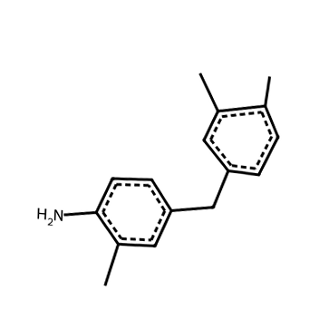 Cc1ccc(Cc2ccc(N)c(C)c2)cc1C